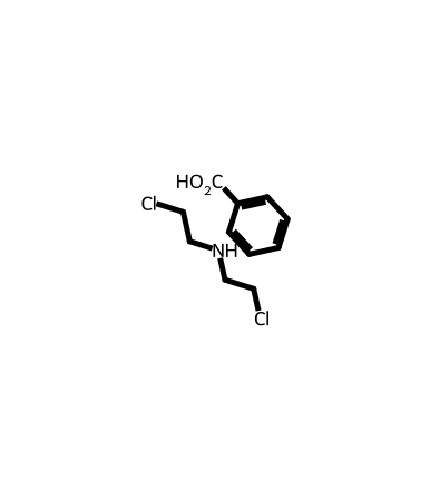 ClCCNCCCl.O=C(O)c1ccccc1